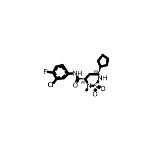 CN1[C@@H](C(=O)Nc2ccc(F)c(Cl)c2)C[C@@H](C2CCCC2)NS1(=O)=O